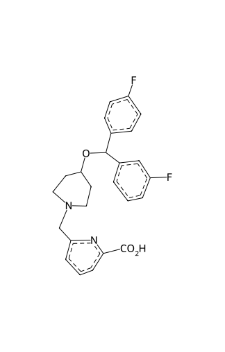 O=C(O)c1cccc(CN2CCC(OC(c3ccc(F)cc3)c3cccc(F)c3)CC2)n1